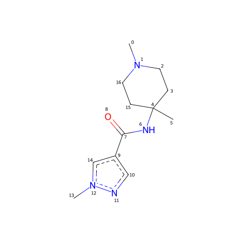 CN1CCC(C)(NC(=O)c2cnn(C)c2)CC1